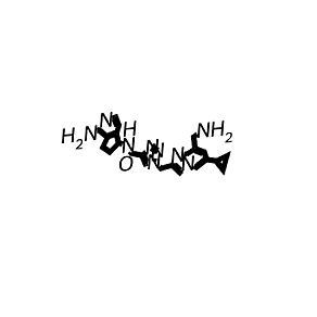 NCc1cc(C2CC2)cn2cc(Cn3cc(C(=O)NC4CCc5c4ccnc5N)nn3)nc12